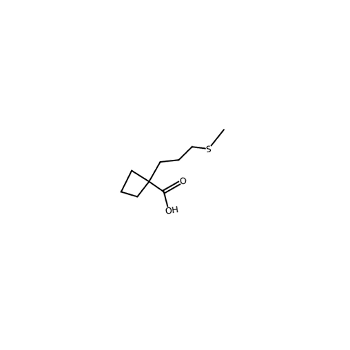 CSCCCC1(C(=O)O)CCC1